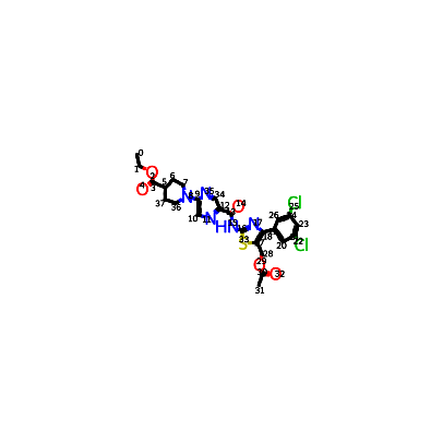 CCOC(=O)C1CCN(c2cnc(C(=O)Nc3nc(-c4cc(Cl)cc(Cl)c4)c(COC(C)=O)s3)cn2)CC1